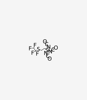 O=C=N[Si](CCSC(F)(F)C(F)F)(N=C=O)N=C=O